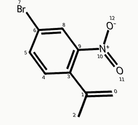 C=C(C)c1ccc(Br)cc1[N+](=O)[O-]